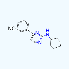 N#Cc1cccc(-c2ccnc(NC3CCCCC3)n2)c1